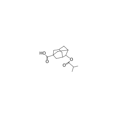 CC(C)C(=O)OC1C2CC3CC1CC(C(=O)O)(C3)C2